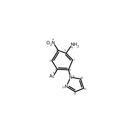 CC(=O)c1cc([N+](=O)[O-])c(N)cc1-n1cccn1